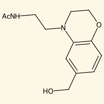 CC(=O)NCCN1CCOc2ccc(CO)cc21